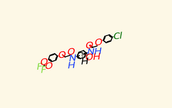 O=C(COc1ccc2c(c1)OC(F)(F)O2)NC12CCC(NC(=O)COc3ccc(Cl)cc3)(CC1)[C@@H](O)C2